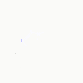 CC(C)(C)c1cn(-c2ccc(F)cc2)nn1